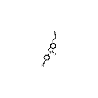 N#CCCc1ccc2c(c1)CN(c1ccc(C#N)cc1)C2=O